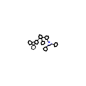 c1ccc(-c2cc(-c3ccccc3)nc(-c3cccc(-c4cccc(-c5ccc6c(c5)-c5ccccc5C65CCCCC5)c4-c4ccccc4)c3)n2)cc1